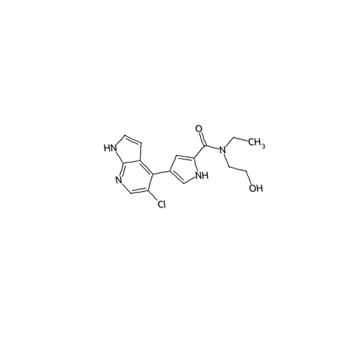 CCN(CCO)C(=O)c1cc(-c2c(Cl)cnc3[nH]ccc23)c[nH]1